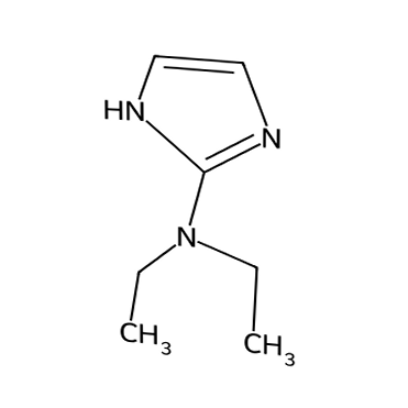 CCN(CC)c1ncc[nH]1